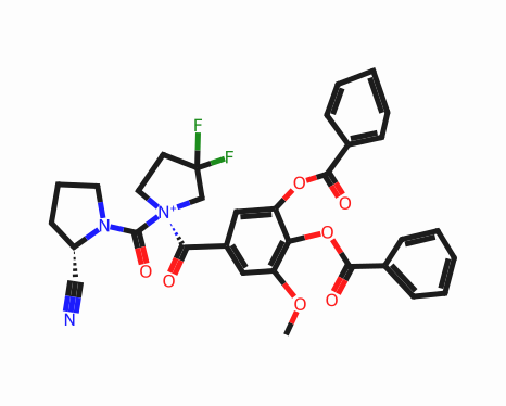 COc1cc(C(=O)[N@+]2(C(=O)N3CCC[C@H]3C#N)CCC(F)(F)C2)cc(OC(=O)c2ccccc2)c1OC(=O)c1ccccc1